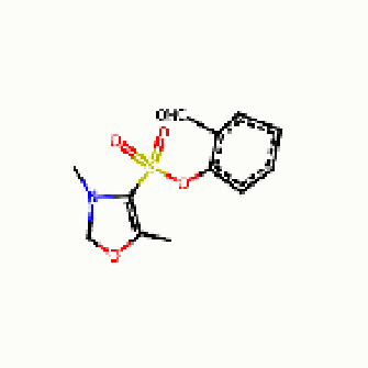 CC1=C(S(=O)(=O)Oc2ccccc2C=O)N(C)CO1